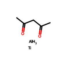 CC(=O)CC(C)=O.[AlH3].[Ti]